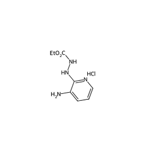 CCOC(=O)NNc1ncccc1N.Cl